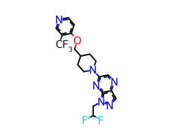 FC(F)Cn1ncc2ncc(N3CCC(COc4ccncc4C(F)(F)F)CC3)nc21